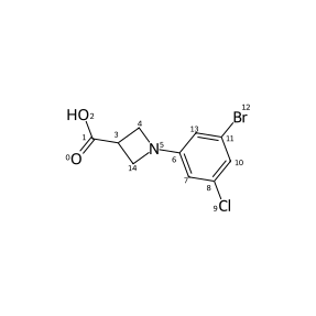 O=C(O)C1CN(c2cc(Cl)cc(Br)c2)C1